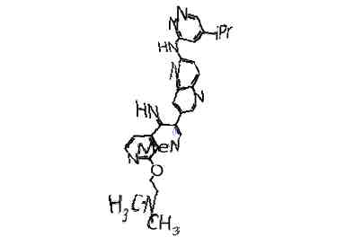 CN/C=C(\C(=N)c1ccnc(OCCN(C)C)c1)c1cnc2ccc(Nc3cc(C(C)C)cnn3)nc2c1